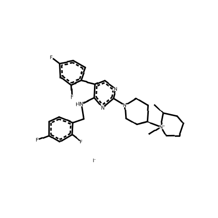 CC1CCCC[N+]1(C)C1CCN(c2ncc(-c3ccc(F)cc3F)c(NCc3ccc(F)cc3F)n2)CC1.[I-]